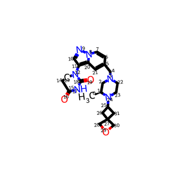 C[C@H]1CN(Cc2ccn3ncc(N4CCC(=O)NC4=O)c3c2)CCN1C1CC2(COC2)C1